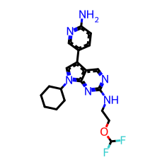 Nc1ccc(-c2cn(C3CCCCC3)c3nc(NCCOC(F)F)ncc23)cn1